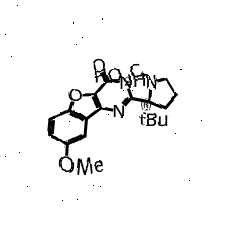 COc1ccc2oc3c(=O)[nH]c([C@]4(C(C)(C)C)CCCN4C(=O)O)nc3c2c1